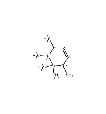 CC1C=CN(C)C(C)(C)N1C